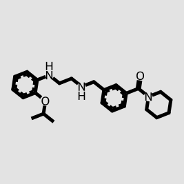 CC(C)Oc1ccccc1NCCNCc1cccc(C(=O)N2CCCCC2)c1